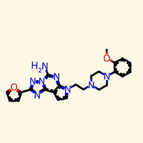 COc1ccccc1N1CCN(CCn2ccc3c2nc(N)n2nc(-c4ccco4)nc32)CC1